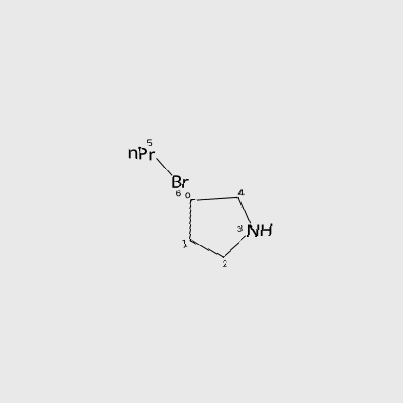 C1CCNC1.CCCBr